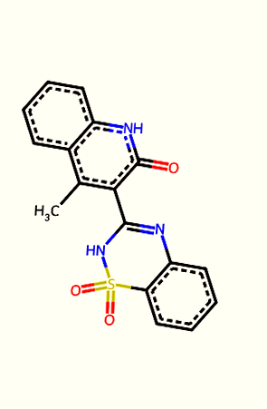 Cc1c(C2=Nc3ccccc3S(=O)(=O)N2)c(=O)[nH]c2ccccc12